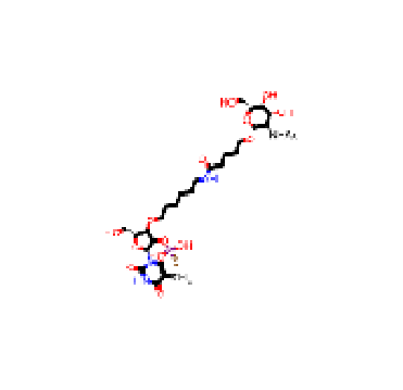 CC(=O)N[C@H]1[C@H](OCCCCC(=O)NCCCCCCOC2C(OP(O)(O)=S)[C@H](n3cc(C)c(=O)[nH]c3=O)O[C@@H]2CO)O[C@H](CO)[C@H](O)[C@@H]1O